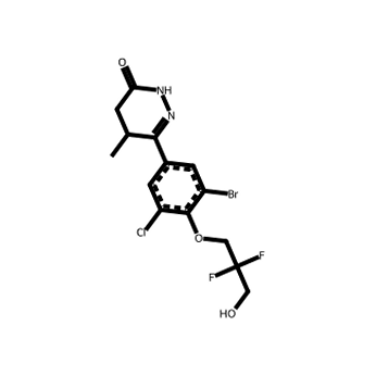 CC1CC(=O)NN=C1c1cc(Cl)c(OCC(F)(F)CO)c(Br)c1